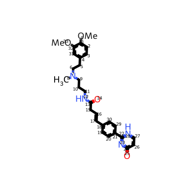 COc1ccc(CCN(C)CCCNC(=O)C/C=C/c2ccc(-c3nc(=O)cc[nH]3)cc2)cc1OC